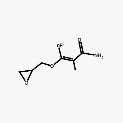 CCC/C(OCC1CO1)=C(/C)C(N)=O